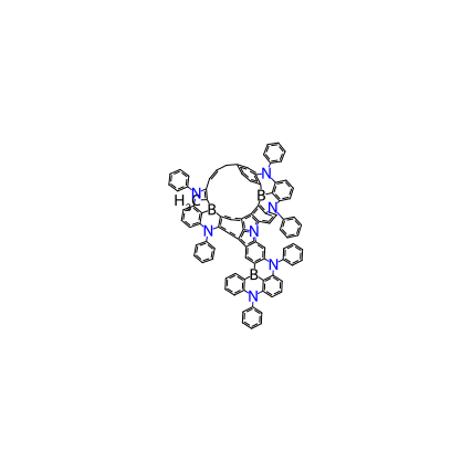 CC1=C2/C=C\Cc3ccc4c(c3)N(c3ccccc3)c3cccc5c3B4c3c(ccc4c3c3cc6c(c7c8cc9c(cc8n4c37)N(c3ccccc3)c3cccc4c3B9c3ccccc3N4c3ccccc3)N(c3ccccc3)c3cccc(c3B16)N2c1ccccc1)N5c1ccccc1